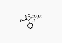 CCOC(=O)C1(CC)ON=C(C(C)C)C1c1ccccc1